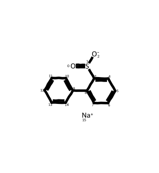 O=S([O-])c1ccccc1-c1ccccc1.[Na+]